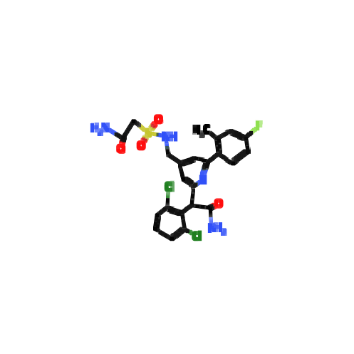 Cc1cc(F)ccc1-c1cc(CNS(=O)(=O)CC(N)=O)cc(C(C(N)=O)c2c(Cl)cccc2Cl)n1